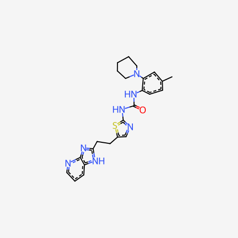 Cc1ccc(NC(=O)Nc2ncc(CCc3nc4ncccc4[nH]3)s2)c(N2CCCCC2)c1